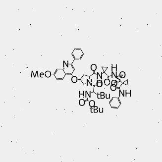 COc1ccc2c(OC3CC(C(=O)NC4(C(=O)NS(=O)(=O)C5(C(=O)Nc6ccccc6)CC5)CC4)N(C(=O)C(NC(=O)OC(C)(C)C)C(C)(C)C)C3)cc(-c3ccccc3)nc2c1